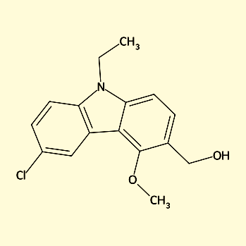 CCn1c2ccc(Cl)cc2c2c(OC)c(CO)ccc21